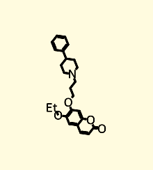 CCOc1cc2ccc(=O)oc2cc1OCCCN1CCC(c2ccccc2)CC1